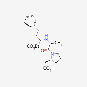 CCOC(=O)[C@H](CCc1ccccc1)N[C@@H](C)C(=O)N1CCC[C@H]1CC(=O)O